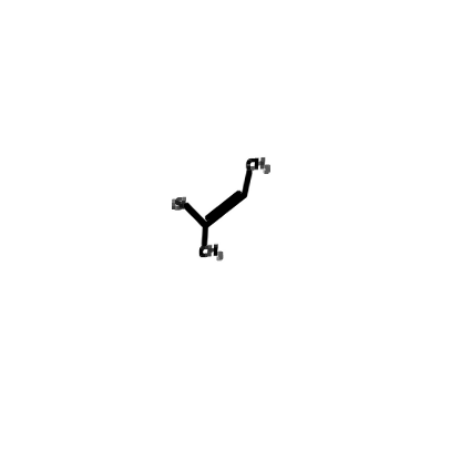 CC=C(C)[Si]